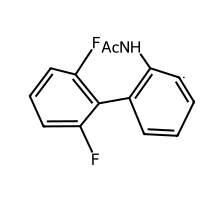 CC(=O)Nc1[c]cccc1-c1c(F)cccc1F